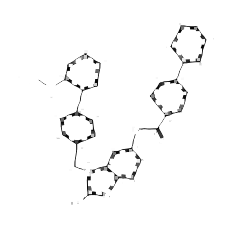 CCCCc1nc2ccc(NC(=O)c3ccc(-c4ccccc4)cc3)cc2n1Cc1ccc(-c2ccccc2OC(=O)O)cc1